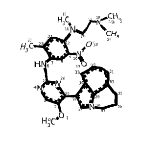 COc1cnc(Nc2cc([N+](=O)[O-])c(N(C)CCN(C)C)cc2C)nc1-c1cn2c3c(cccc13)CCC2